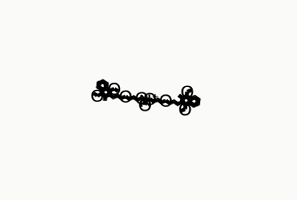 COc1c(C)c(CCCOCCCO[N+](=O)OCCCOCCCc2c(C)c(OC)c3ccccc3c2OC)c(OC)c2ccccc12